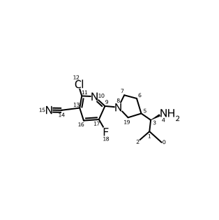 CC(C)[C@H](N)C1CCN(c2nc(Cl)c(C#N)cc2F)C1